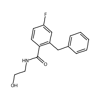 O=C(NCCO)c1ccc(F)cc1Cc1ccccc1